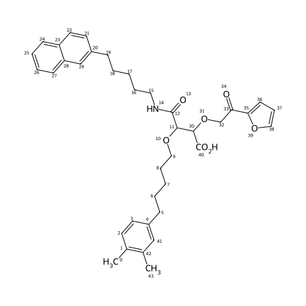 Cc1ccc(CCCCCOC(C(=O)NCCCCCc2ccc3ccccc3c2)C(OCC(=O)c2ccco2)C(=O)O)cc1C